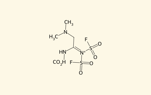 CN(C)CC(NC(=O)O)=[N+](S(=O)(=O)F)S(=O)(=O)F